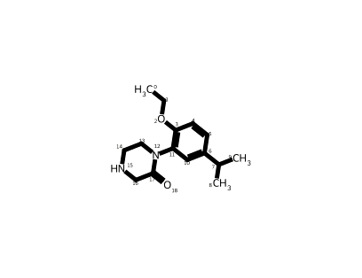 CCOc1ccc(C(C)C)cc1N1CCNCC1=O